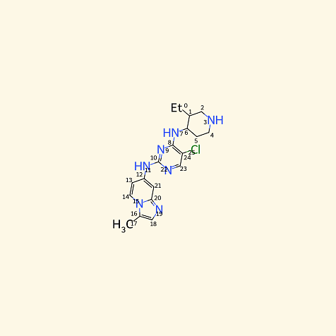 CCC1CNCCC1Nc1nc(Nc2ccn3c(C)cnc3c2)ncc1Cl